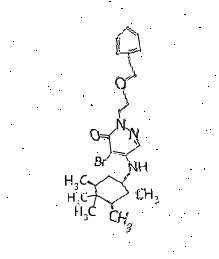 C[C@@H]1[C@@H](C)C(C)(C)[C@@H](C)C[C@H]1Nc1cnn(CCOCc2ccccc2)c(=O)c1Br